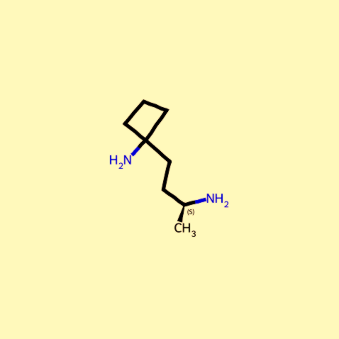 C[C@H](N)CCC1(N)CCC1